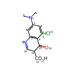 CN(C)c1ccc2c(c1)N=CC(C(=O)O)C2=O.Cl